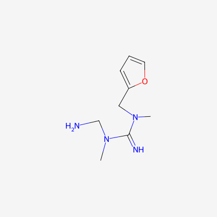 CN(CN)C(=N)N(C)Cc1ccco1